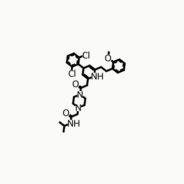 COc1ccccc1CCC1=CC(c2c(Cl)cccc2Cl)C=C(CC(=O)N2CCN(CC(=O)NC(C)C)CC2)N1